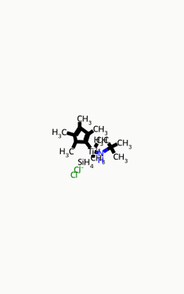 CC1=C(C)C(C)[C]([Ti+2]([CH3])([CH3])[NH]C(C)(C)C)=C1C.[Cl-].[Cl-].[SiH4]